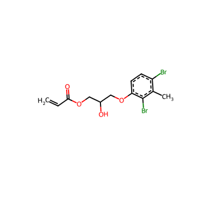 C=CC(=O)OCC(O)COc1ccc(Br)c(C)c1Br